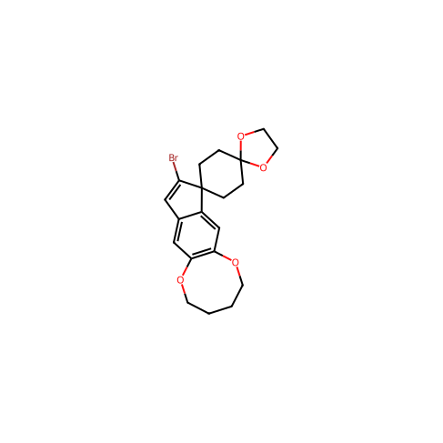 BrC1=Cc2cc3c(cc2C12CCC1(CC2)OCCO1)OCCCCO3